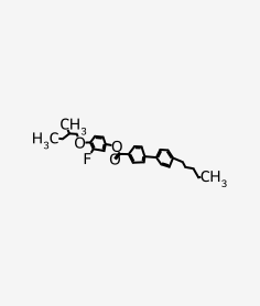 CCCCCc1ccc(-c2ccc(C(=O)Oc3ccc(OCC(C)CC)c(F)c3)cc2)cc1